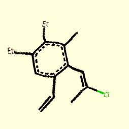 C=Cc1cc(CC)c(CC)c(C)c1/C=C(\C)Cl